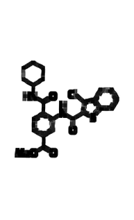 COC(=O)c1ccc(C(=O)NC2CCCCC2)c(NC(=O)c2sc3ccccc3c2Cl)c1